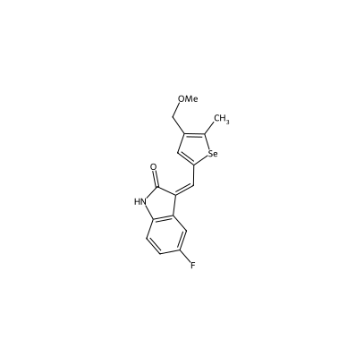 COCc1cc(C=C2C(=O)Nc3ccc(F)cc32)[se]c1C